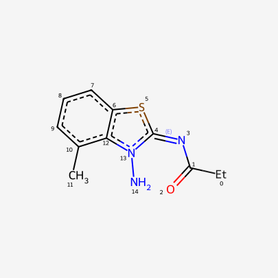 CCC(=O)/N=c1/sc2cccc(C)c2n1N